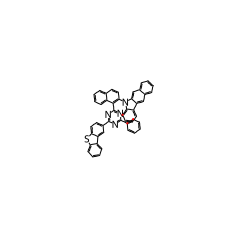 c1ccc(-c2nc(-c3ccc4sc5ccccc5c4c3)nc(-c3c(-n4c5ccccc5c5cc6ccccc6cc54)ccc4ccccc34)n2)cc1